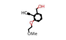 C#Cc1c([CH]O)cccc1OCCOC